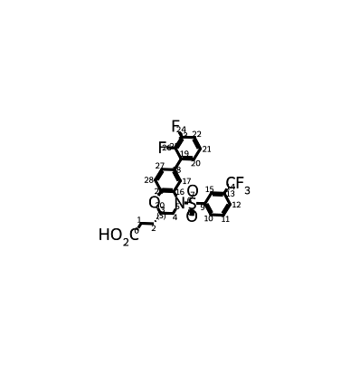 O=C(O)CC[C@H]1CN(S(=O)(=O)c2cccc(C(F)(F)F)c2)c2cc(-c3cccc(F)c3F)ccc2O1